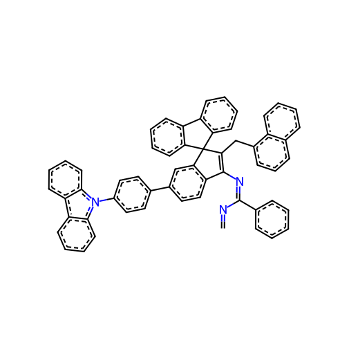 C=N/C(=N\C1=C(Cc2cccc3ccccc23)C2(c3cc(-c4ccc(-n5c6ccccc6c6ccccc65)cc4)ccc31)c1ccccc1-c1ccccc12)c1ccccc1